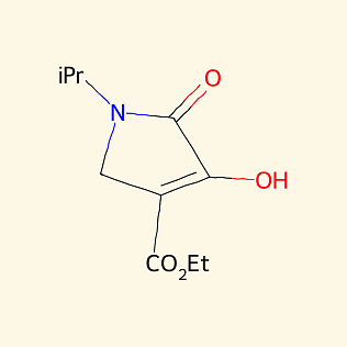 CCOC(=O)C1=C(O)C(=O)N(C(C)C)C1